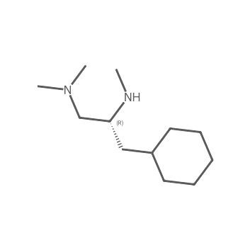 CN[C@H](CC1CCCCC1)CN(C)C